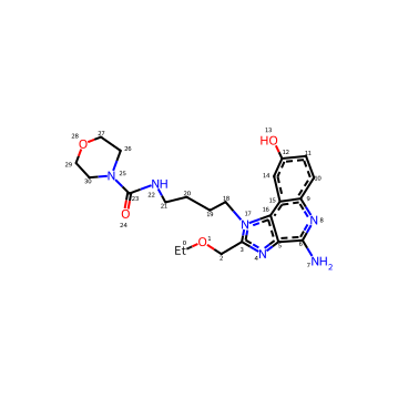 CCOCc1nc2c(N)nc3ccc(O)cc3c2n1CCCCNC(=O)N1CCOCC1